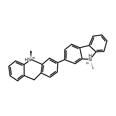 C[Si@@H]1c2ccccc2Cc2ccc(-c3ccc4c(c3)[Si@@H](C)c3ccccc3-4)cc21